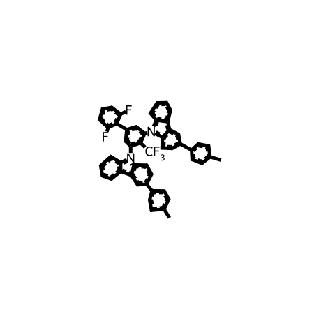 Cc1ccc(-c2ccc3c(c2)c2ccccc2n3-c2cc(-c3c(F)cccc3F)cc(-n3c4ccccc4c4cc(-c5ccc(C)cc5)ccc43)c2C(F)(F)F)cc1